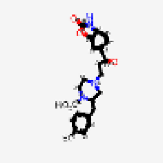 CCc1ccc(CC2CN(CCC(=O)c3ccc4[nH]c(=O)oc4c3)CCN2C(=O)O)cc1